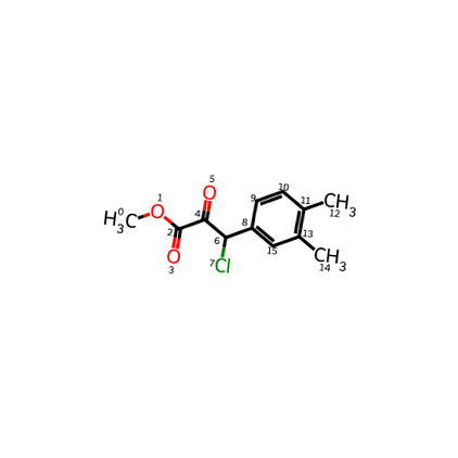 COC(=O)C(=O)C(Cl)c1ccc(C)c(C)c1